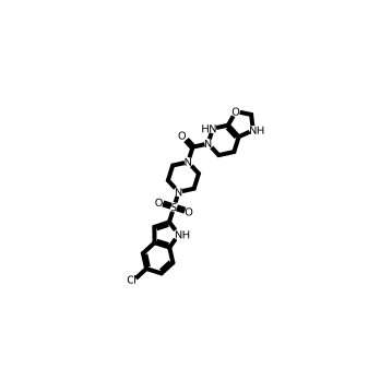 O=C(N1CCN(S(=O)(=O)c2cc3cc(Cl)ccc3[nH]2)CC1)N1CCC2=C(N1)OCN2